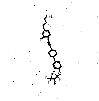 CCCCc1ccc(C#CC2CCC(c3ccc(OC(F)(F)C(F)C(F)(F)F)cc3)CC2)c(F)c1